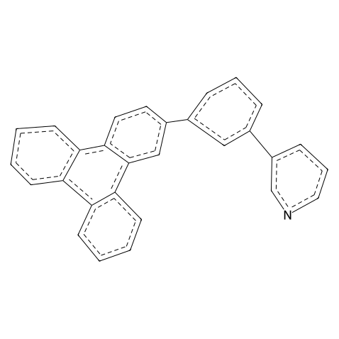 c1cncc(-c2cccc(-c3ccc4c5ccccc5c5ccccc5c4c3)c2)c1